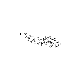 N#Cc1ccccc1[S+]([O-])n1ccc2cnc(Nc3ccc(N4CCN(CCO)CC4)cc3)cc21